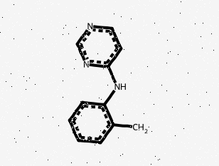 [CH2]c1ccccc1Nc1ccncn1